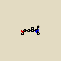 c1ccc(-c2cc(-c3ccc(-c4ccc(-c5ccc6oc7ccccc7c6c5)cc4)c4ccccc34)nc(-c3ccccc3)n2)cc1